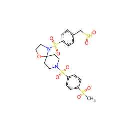 CS(=O)(=O)c1ccc(S(=O)(=O)N2CCC3(CC2)OCCN3S(=O)(=O)c2ccc(C[SH](=O)=O)cc2)cc1